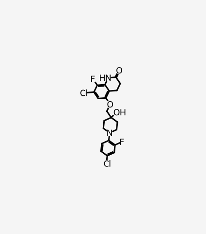 O=C1CCc2c(OCC3(O)CCN(c4ccc(Cl)cc4F)CC3)cc(Cl)c(F)c2N1